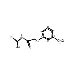 CCC(CC)NC(=O)COc1cccc(C=O)c1